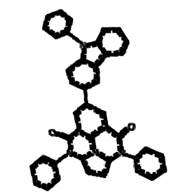 O=c1c2cc(-c3ccc4c(c3)c3ccccc3n4-c3ccccc3)cc3c(=O)n(-c4ccccc4)c4ccc(n1-c1ccccc1)n4c23